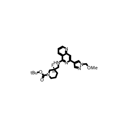 COCn1cc(-c2cc3ncccc3c(NC[C@]3(F)CCCN(C(=O)OC(C)(C)C)C3)n2)cn1